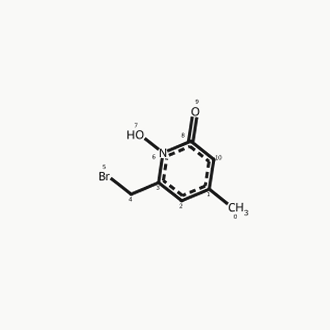 Cc1cc(CBr)n(O)c(=O)c1